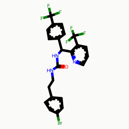 O=C(NCCc1ccc(Br)cc1)NC(c1ccc(C(F)(F)F)cc1)c1ncccc1C(F)(F)F